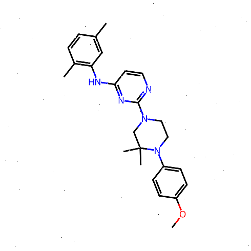 COc1ccc(N2CCN(c3nccc(Nc4cc(C)ccc4C)n3)CC2(C)C)cc1